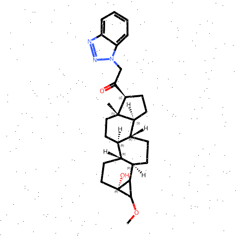 COC1C2[C@@H]3CC[C@@H]4[C@H](CC[C@]5(C)[C@@H](C(=O)Cn6nnc7ccccc76)CC[C@@H]45)[C@H]3CC[C@]12O